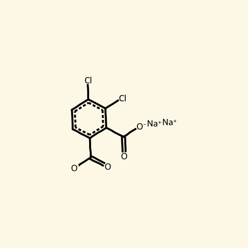 O=C([O-])c1ccc(Cl)c(Cl)c1C(=O)[O-].[Na+].[Na+]